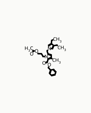 CCc1cn(Cc2cc(C)c(C(=O)OCc3ccccc3)n2CCCOC(C)=O)cc1CC